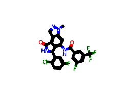 Cn1ncc2c3c(c(NC(=O)c4cc(F)cc(C(F)(F)F)c4)cc21)C(c1cc(F)ccc1Cl)NC3=O